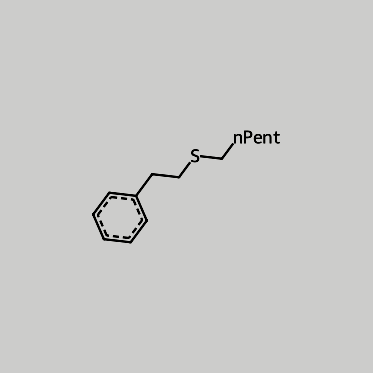 CCCCCCSCCc1ccccc1